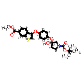 COC(=O)c1ccc2c(Oc3ccc(O[C@@]4(O)CCN(C(=O)OC(C)(C)C)C4)cc3)csc2c1